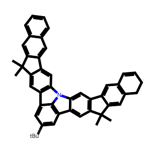 CC(C)(C)c1cc2c3cc4c(cc3n3c5cc6c(cc5c(c1)c23)C(C)(C)c1cc2ccccc2cc1-6)-c1cc2c(cc1C4(C)C)CCC=C2